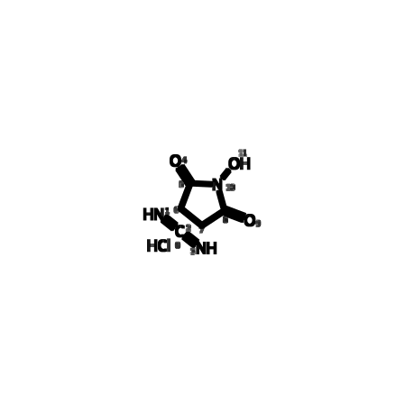 Cl.N=C=N.O=C1CCC(=O)N1O